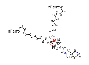 CCCCC/C=C\C/C=C\CCCCCCCCC1(CCCCCCCC/C=C\C/C=C\CCCCC)O[C@H]2CC(CCN(C)Cc3cccnc3)C[C@H]2O1